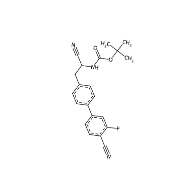 CC(C)(C)OC(=O)NC(C#N)Cc1ccc(-c2ccc(C#N)c(F)c2)cc1